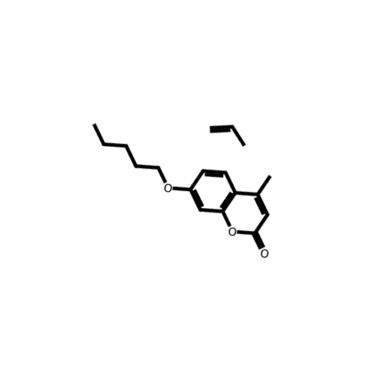 C=CC.CCCCCOc1ccc2c(C)cc(=O)oc2c1